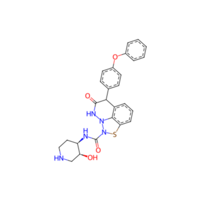 O=C1NN2c3c(cccc3C1c1ccc(Oc3ccccc3)cc1)SN2C(=O)N[C@@H]1CCNC[C@@H]1O